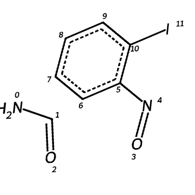 NC=O.O=Nc1ccccc1I